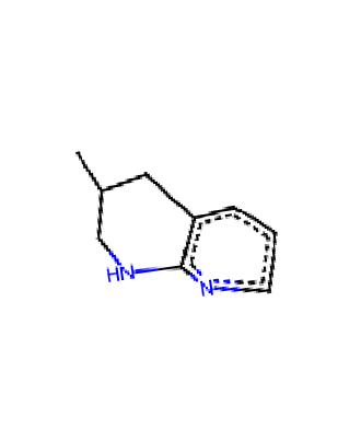 CC1CNc2ncccc2C1